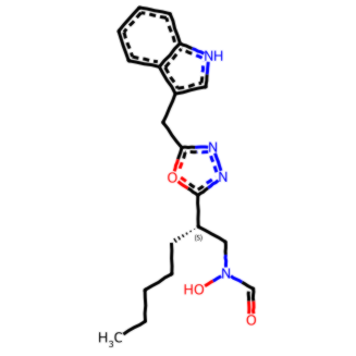 CCCCC[C@@H](CN(O)C=O)c1nnc(Cc2c[nH]c3ccccc23)o1